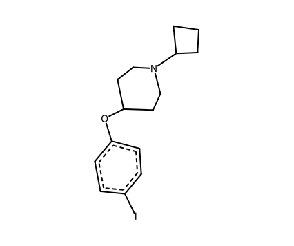 Ic1ccc(OC2CCN(C3CCC3)CC2)cc1